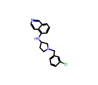 Clc1cccc(CN2CCC(Nc3cccc4cnccc34)C2)c1